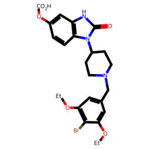 CCOc1cc(CN2CCC(n3c(=O)[nH]c4cc(OC(=O)O)ccc43)CC2)cc(OCC)c1Br